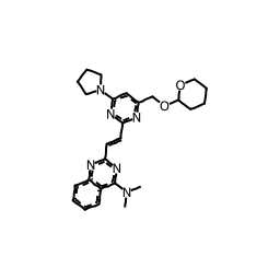 CN(C)c1nc(C=Cc2nc(COC3CCCCO3)cc(N3CCCC3)n2)nc2ccccc12